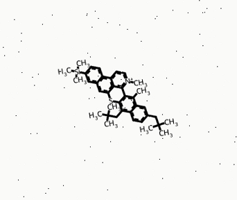 Cc1c2c(c(CC(C)(C)C)c3ccc(CC(C)(C)C)cc13)Sc1cc3cc([Si](C)(C)C)ccc3c3cc[n+](C)c-2c13